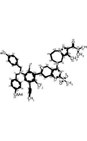 CC#Cc1cc(N(Cc2ccc(OC)cc2)Cc2ccc(OC)cc2)c(F)c(C2Cc3nc(S(C)(=O)=O)nc(N4CCCn5nc(C(=O)N(C)C)c(C)c5C4)c3CO2)c1C(F)(F)F